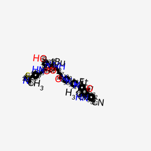 CCc1cc2c(cc1N1CCC(N3CCN(C(=O)CCCC(=O)NC(C(=O)N4C[C@H](O)C[C@H]4C(=O)NCc4ccc(-c5scnc5C)cc4)C(C)(C)C)CC3)CC1)C(C)(C)c1[nH]c3cc(C#N)ccc3c1C2=O